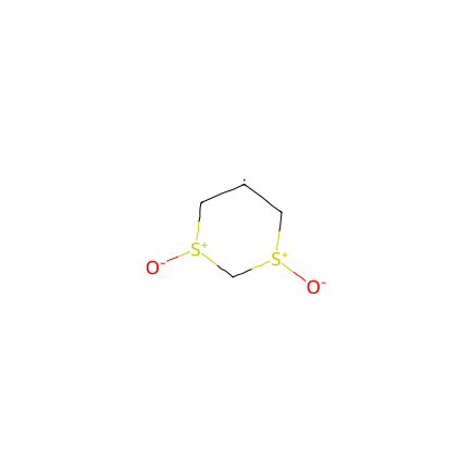 [O-][S+]1C[CH]C[S+]([O-])C1